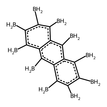 Bc1c(B)c(B)c2c(B)c3c(B)c(B)c(B)c(B)c3c(B)c2c1B